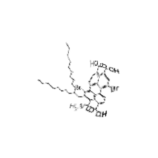 CCCCCCCCCCC(CCCCCCCC)Cc1c(C(N)=O)c2c(C(=O)O)ccc3c4c(Br)cc(C(=O)O)c5c(C(=O)O)ccc(c(c1Br)c23)c54